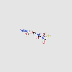 CNNC(=O)C(C)(C)COC(C)(C)CCNC(=O)CCN1C(=O)CC(S)C1=O